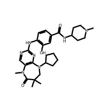 CN1CCC(NC(=O)c2ccc(Nc3ncc4c(n3)N(C3CCCC3)CC(C)(C)C(=O)N4C)c(O)c2)CC1